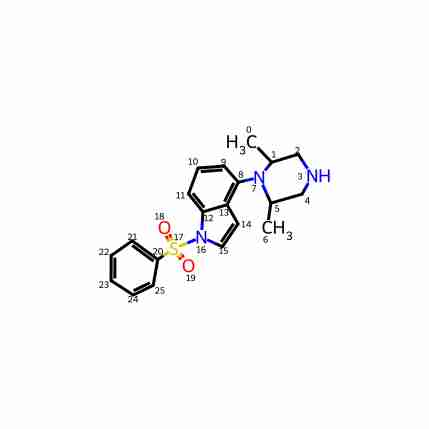 CC1CNCC(C)N1c1cccc2c1ccn2S(=O)(=O)c1ccccc1